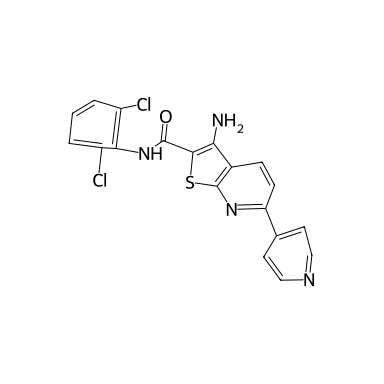 Nc1c(C(=O)Nc2c(Cl)cccc2Cl)sc2nc(-c3ccncc3)ccc12